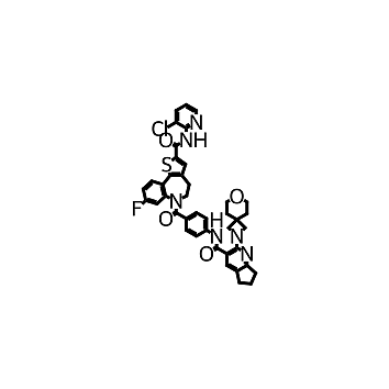 O=C(Nc1ncccc1Cl)c1cc2c(s1)-c1ccc(F)cc1N(C(=O)c1ccc(NC(=O)c3cc4c(nc3N3CC5(CCOCC5)C3)CCC4)cc1)CC2